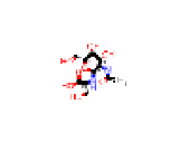 CC(=O)N[C@H]1C(N[C@@H](CO)C(=O)O)O[C@H](CO)[C@H](O)[C@@H]1O